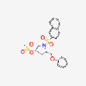 CS(=O)(=O)OC1CC(COc2ccccc2)N(S(=O)(=O)c2ccc3ccccc3c2)C1